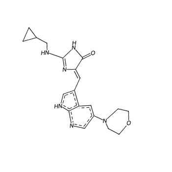 O=C1NC(NCC2CC2)=NC1=Cc1c[nH]c2ncc(N3CCOCC3)cc12